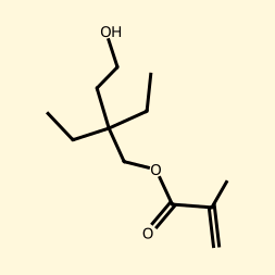 C=C(C)C(=O)OCC(CC)(CC)CCO